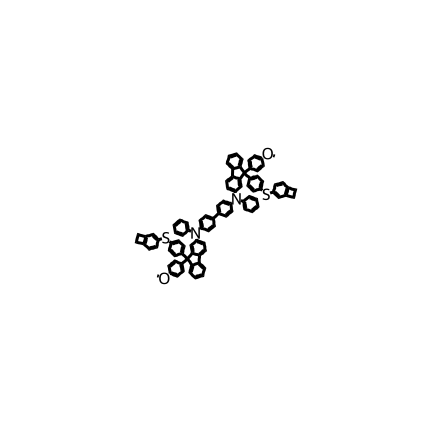 COc1ccc(C2(c3ccc(Sc4ccc5c(c4)CC5)cc3)c3ccccc3-c3ccc(N(c4ccccc4)c4ccc(-c5ccc(N(c6ccccc6)c6ccc7c(c6)C(c6ccc(OC)cc6)(c6ccc(Sc8ccc9c(c8)CC9)cc6)c6ccccc6-7)cc5)cc4)cc32)cc1